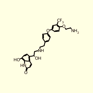 NCCOc1ccc(Oc2ccc(CCNC[C@H](O)c3ccc(O)c4[nH]c(=O)ccc34)cc2)cc1C(F)(F)F